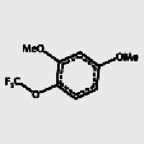 COc1ccc(OC(F)(F)F)c(OC)c1